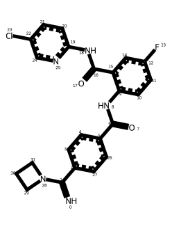 N=C(c1ccc(C(=O)Nc2ccc(F)cc2C(=O)Nc2ccc(Cl)cn2)cc1)N1CCC1